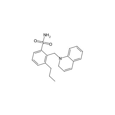 CCCc1cccc(S(N)(=O)=O)c1CN1CC=Cc2ccccc21